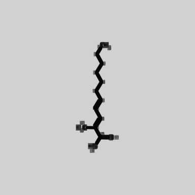 CCCCCC/C=C/C=C(\C)C(=O)O